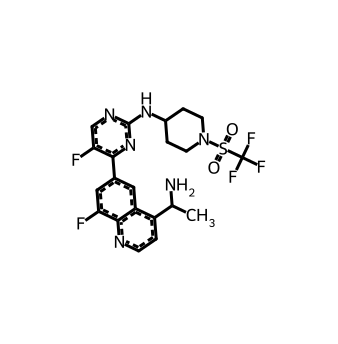 CC(N)c1ccnc2c(F)cc(-c3nc(NC4CCN(S(=O)(=O)C(F)(F)F)CC4)ncc3F)cc12